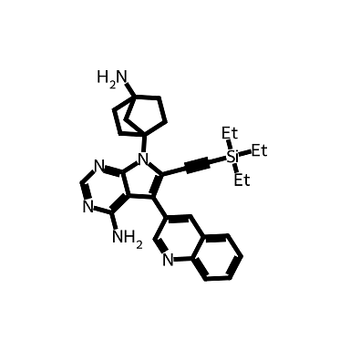 CC[Si](C#Cc1c(-c2cnc3ccccc3c2)c2c(N)ncnc2n1C12CCC(N)(CC1)C2)(CC)CC